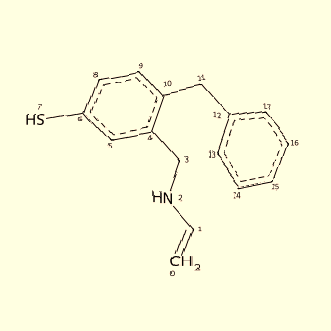 C=CNCc1cc(S)ccc1Cc1ccccc1